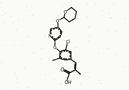 CC(=Cc1cc(C)c(Oc2ccc(OC3CCCCO3)cn2)c(Cl)c1)C(=O)O